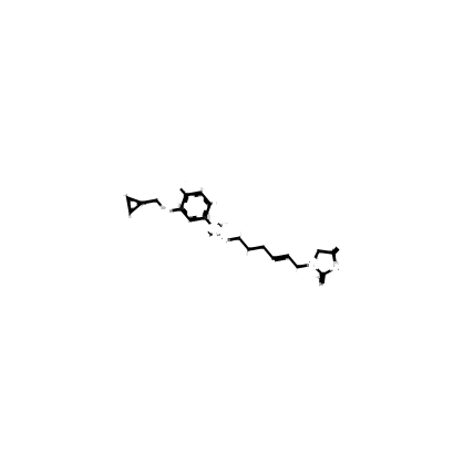 O=C1CN(C/C=C/CCCNS(=O)(=O)c2ccc(F)c(OCC3CC3)c2)C(=O)N1